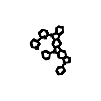 c1ccc(-n2ccc3cc4c5cc6c7ccccc7n(-c7cccc(-c8cccnc8)n7)c6cc5n(-c5ccccc5)c4cc32)cc1